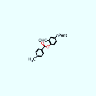 CCCCCc1ccc(OC(=O)c2ccc(C)cc2)c(C=O)c1